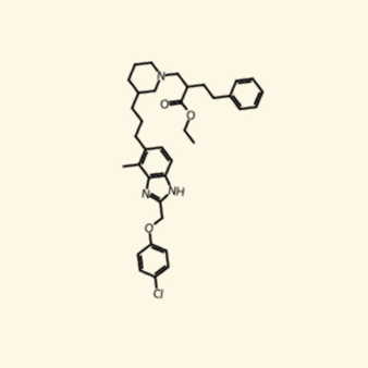 CCOC(=O)C(CCc1ccccc1)CN1CCCC(CCCc2ccc3[nH]c(COc4ccc(Cl)cc4)nc3c2C)C1